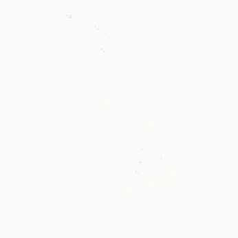 CN(C)C(=O)[C@@]12C[C@]3(c4ccc(OCCCn5cc(CNCl)nn5)cc4)c4ccccc4N(S(=O)(=O)c4ccccc4)[C@@H]3N1C(=O)CSS2